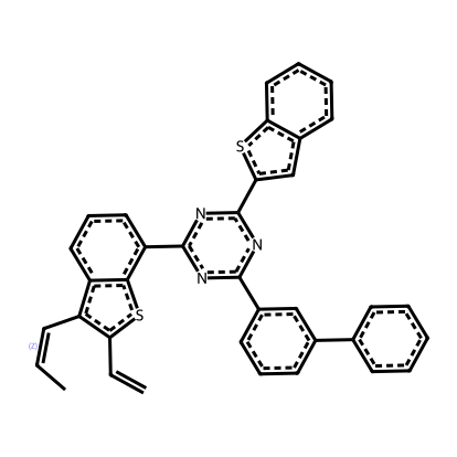 C=Cc1sc2c(-c3nc(-c4cccc(-c5ccccc5)c4)nc(-c4cc5ccccc5s4)n3)cccc2c1/C=C\C